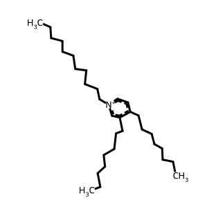 CCCCCCCCCCC[n+]1ccc(CCCCCCCC)c(CCCCCCCC)c1